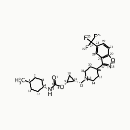 C[C@H]1CC[C@H](NC(=O)O[C@@H]2C[C@@H]2CN2CCC(c3noc4ccc(C(F)(F)F)cc34)CC2)CC1